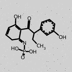 CCC(C(=O)C1=C(O)C=CCC1=NP(=O)(O)O)c1cccc(O)c1